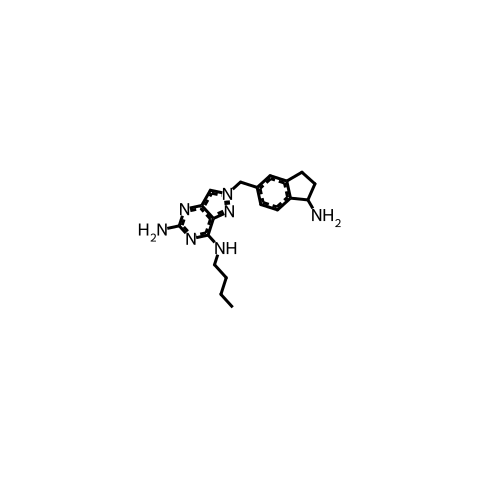 CCCCNc1nc(N)nc2cn(Cc3ccc4c(c3)CCC4N)nc12